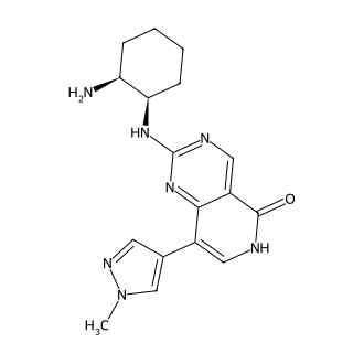 Cn1cc(-c2c[nH]c(=O)c3cnc(N[C@@H]4CCCC[C@@H]4N)nc23)cn1